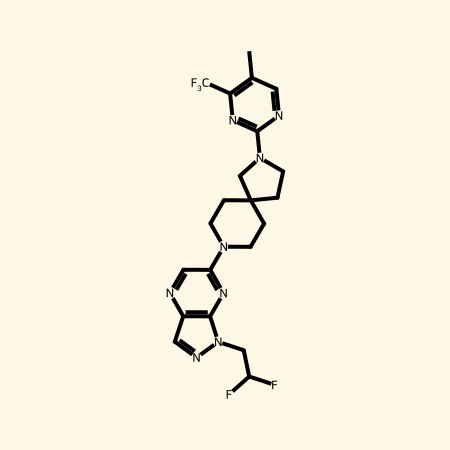 Cc1cnc(N2CCC3(CCN(c4cnc5cnn(CC(F)F)c5n4)CC3)C2)nc1C(F)(F)F